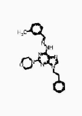 Cc1cccc(C=NNc2nc(N3CCOCC3)nc3c2ncn3CCc2ccccc2)c1